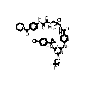 CC(C)(CNC(=O)C(=O)Nc1ccc(C(=O)N2CCCCC2)cc1)CNC(=O)c1ccc(Nc2nc(NC3(c4ccc(Cl)cc4)CC3)nc(OCC(F)(F)F)n2)cc1